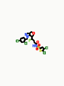 O=C(CC/C(F)=C1\COCc2cnn(Cc3ccc(Cl)cc3Cl)c21)NS(=O)(=O)c1cc(Cl)c(Cl)s1